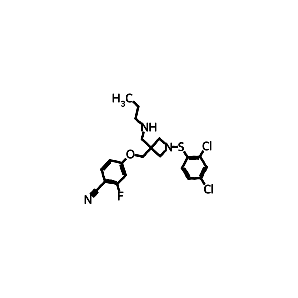 CCCNCC1(COc2ccc(C#N)c(F)c2)CN(Sc2ccc(Cl)cc2Cl)C1